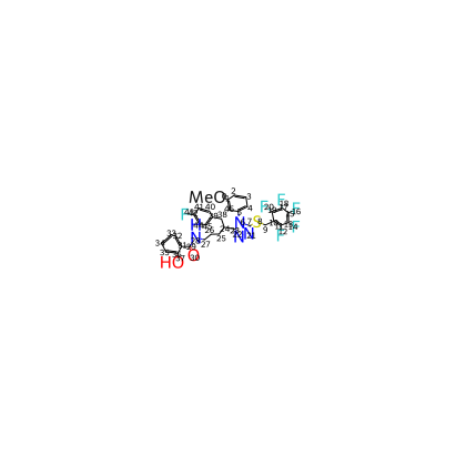 COc1cccc(-n2c(SCc3c(F)c(F)c(F)c(F)c3F)nnc2C(CCCNC(=O)c2ccccc2O)Cc2ccc(F)cc2)c1